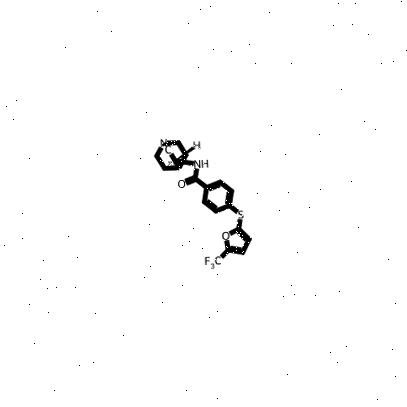 O=C(N[C@H]1CN2CCC1CC2)c1ccc(Sc2ccc(C(F)(F)F)o2)cc1